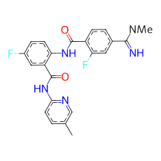 CNC(=N)c1ccc(C(=O)Nc2ccc(F)cc2C(=O)Nc2ccc(C)cn2)c(F)c1